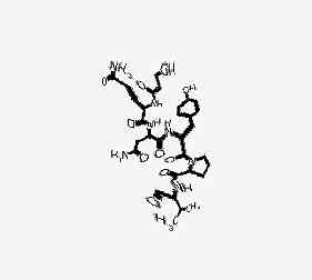 CC(C)C([C]=O)NC(=O)C1CCCN1C(=O)C(Cc1ccc(O)cc1)NC(=O)C(CC(N)=O)NC(=O)C(CCC(N)=O)NC(=O)CCO